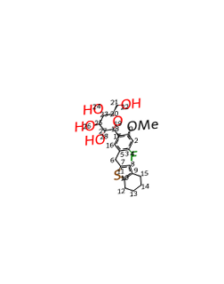 COc1cc(F)c(Cc2cc3c(s2)CCCC3)cc1[C@@H]1O[C@H](CO)[C@@H](O)[C@H](O)[C@H]1O